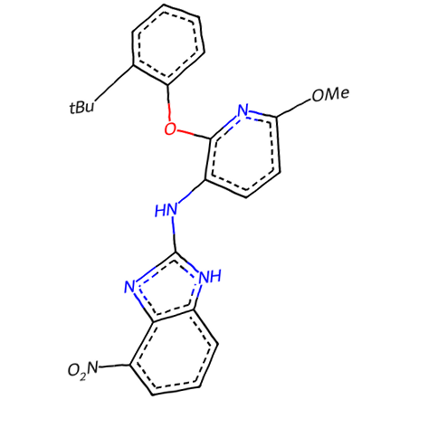 COc1ccc(Nc2nc3c([N+](=O)[O-])cccc3[nH]2)c(Oc2ccccc2C(C)(C)C)n1